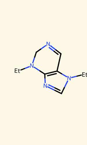 CCN1CN=Cc2c1ncn2CC